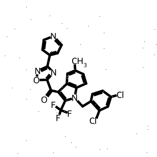 Cc1ccc2c(c1)c(C(=O)c1nc(-c3ccncc3)no1)c(C(F)(F)F)n2Cc1ccc(Cl)cc1Cl